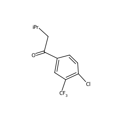 CC(C)CC(=O)c1ccc(Cl)c(C(F)(F)F)c1